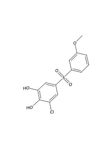 COc1cccc(S(=O)(=O)c2cc(O)c(O)c(Cl)c2)c1